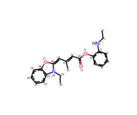 CCNc1ccccc1OC(=O)/C=C(C)/C=C1/Oc2ccccc2N1CC